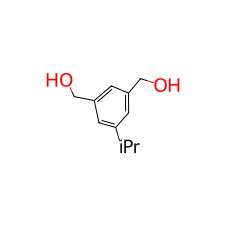 CC(C)c1cc(CO)cc(CO)c1